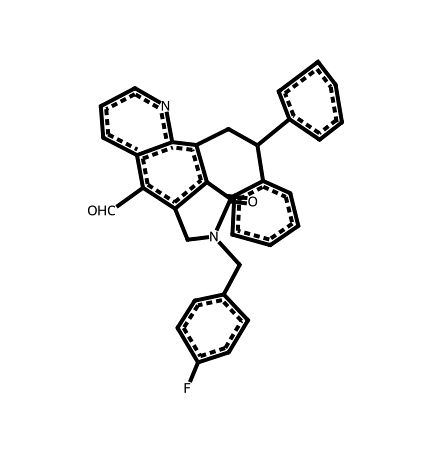 O=Cc1c2c(c(CC(c3ccccc3)c3ccccc3)c3ncccc13)C(=O)N(Cc1ccc(F)cc1)C2